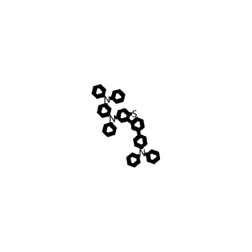 c1ccc(N(c2ccccc2)c2ccc(-c3ccc4sc5ccc(N(c6ccccc6)c6cccc(N(c7ccccc7)c7ccccc7)c6)cc5c4c3)cc2)cc1